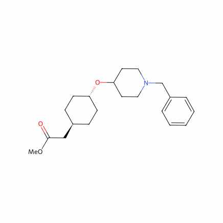 COC(=O)C[C@H]1CC[C@H](OC2CCN(Cc3ccccc3)CC2)CC1